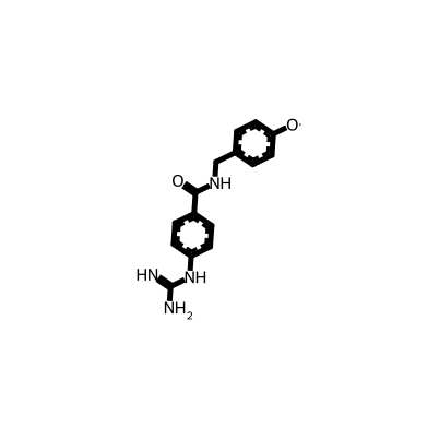 N=C(N)Nc1ccc(C(=O)NCc2ccc([O])cc2)cc1